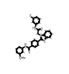 COc1cccc(NC(=O)c2ccc(-c3nc4ccccc4n3CC(=O)Nc3cccc(F)c3)cc2)c1